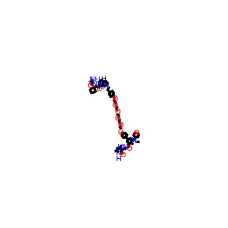 CCN(c1cc(-c2ccc(OCCOCCOCCOCCOCCOc3ccc(CCN4CC[C@H]5CCN(C(=O)[C@@H](NC(=O)[C@H](C)NC)C6CCCCC6)[C@H]5C4)cc3)cc2)cc(C(=O)NCc2c(C)cc(C)[nH]c2=O)c1C)C1CCOCC1